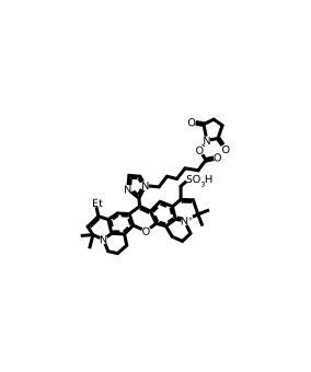 CCC1=CC(C)(C)N2CCCc3c4c(cc1c32)C(c1nccn1CCCCCC(=O)ON1C(=O)CCC1=O)=c1cc2c3c(c1O4)CCC[N+]=3C(C)(C)C=C2CS(=O)(=O)O